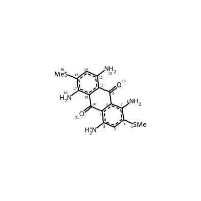 CSc1cc(N)c2c(c1N)C(=O)c1c(N)cc(SC)c(N)c1C2=O